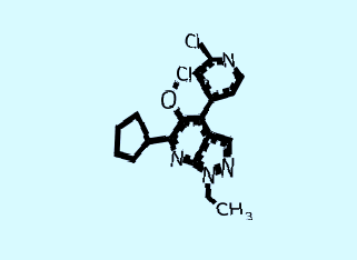 CCn1ncc2c(-c3ccnc(Cl)c3)c(OC)c(C3CCCC3)nc21